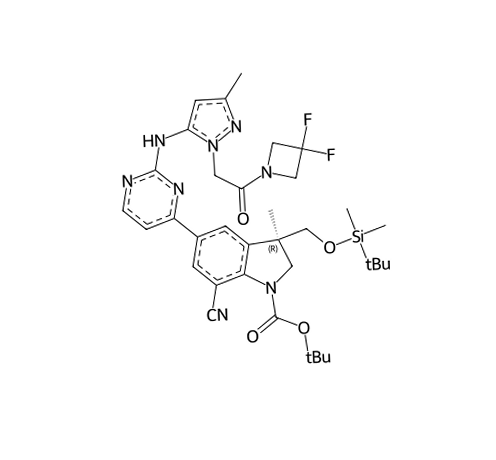 Cc1cc(Nc2nccc(-c3cc(C#N)c4c(c3)[C@@](C)(CO[Si](C)(C)C(C)(C)C)CN4C(=O)OC(C)(C)C)n2)n(CC(=O)N2CC(F)(F)C2)n1